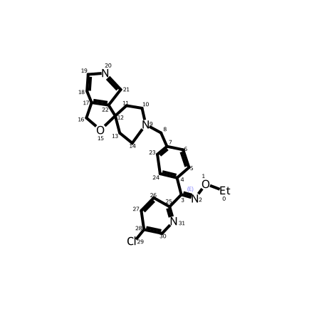 CCO/N=C(\c1ccc(CN2CCC3(CC2)OCc2ccncc23)cc1)c1ccc(Cl)cn1